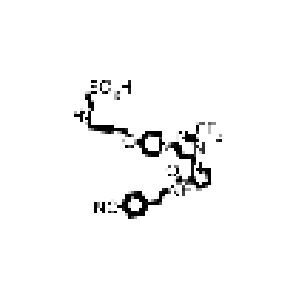 CN(CC#CCOC1CCN(c2cc(N3CCC[C@H]3C(=O)NCCc3ccc(C#N)cc3)nc(C(F)(F)F)n2)CC1)CCS(=O)(=O)O